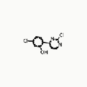 Oc1cc(Cl)ccc1-c1ccnc(Cl)n1